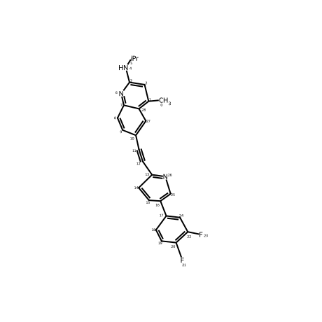 Cc1cc(NC(C)C)nc2ccc(C#Cc3ccc(-c4ccc(F)c(F)c4)cn3)cc12